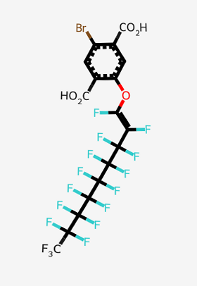 O=C(O)c1cc(OC(F)=C(F)C(F)(F)C(F)(F)C(F)(F)C(F)(F)C(F)(F)C(F)(F)C(F)(F)F)c(C(=O)O)cc1Br